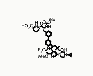 CO[C@@H](C)c1ncc(N2CCN(C3CC3)CC2)cc1-c1c(CC(C)(C)CO)c2cc(-c3cccc(C[C@H](NC(=O)OC(C)(C)C)C(=O)N4CCC[C@@H](C(=O)O)N4)c3)ccc2n1CC(F)(F)F